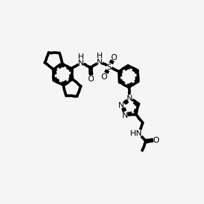 CC(=O)NCc1cn(-c2cccc(S(=O)(=O)NC(=O)Nc3c4c(cc5c3CCC5)CCC4)c2)nn1